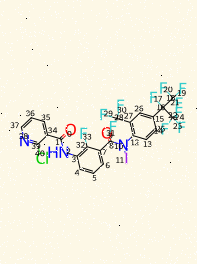 O=C(Nc1cccc(C(=O)N(I)c2ccc(C(F)(C(F)(F)F)C(F)(F)F)cc2C(F)(F)F)c1F)c1cccnc1Cl